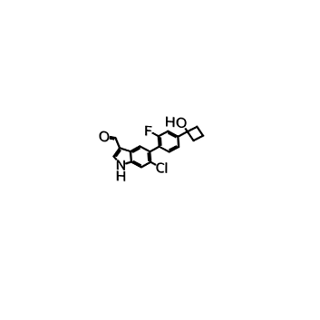 O=Cc1c[nH]c2cc(Cl)c(-c3ccc(C4(O)CCC4)cc3F)cc12